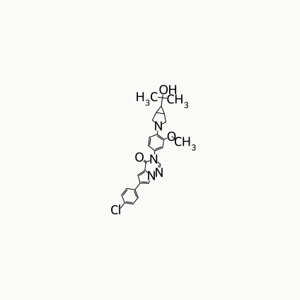 COc1cc(-n2cnn3cc(-c4ccc(Cl)cc4)cc3c2=O)ccc1N1CC2C(C1)C2C(C)(C)O